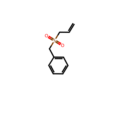 C=CCS(=O)(=O)Cc1ccccc1